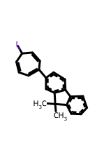 CC1(C)c2ccccc2-c2ccc(C3=CC=CC(I)C=C3)cc21